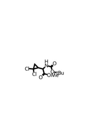 COC(=O)C(NC(=O)OC(C)(C)C)C1CC1(Cl)Cl